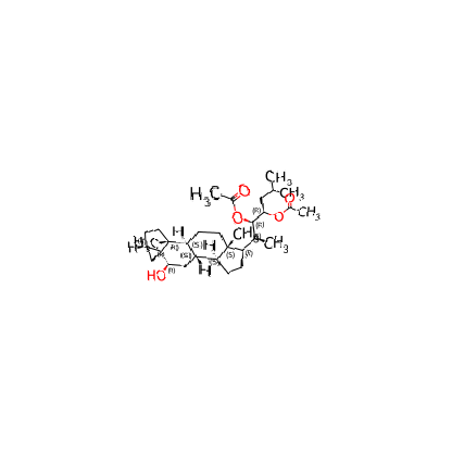 CC(=O)O[C@H]([C@@H](C)[C@H]1CC[C@H]2[C@@H]3C[C@@H](O)[C@]45C[C@@H]4CC[C@]5(C)[C@H]3CC[C@]12C)[C@@H](CC(C)C)OC(C)=O